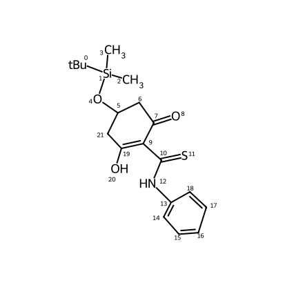 CC(C)(C)[Si](C)(C)OC1CC(=O)C(C(=S)Nc2ccccc2)=C(O)C1